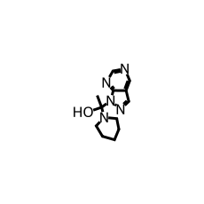 CC(O)(N1CCCCC1)n1ncc2cncnc21